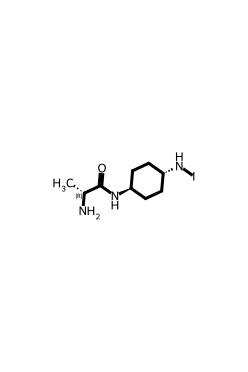 C[C@@H](N)C(=O)N[C@H]1CC[C@H](NI)CC1